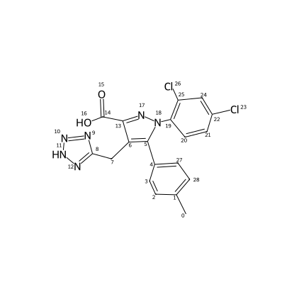 Cc1ccc(-c2c(Cc3nn[nH]n3)c(C(=O)O)nn2-c2ccc(Cl)cc2Cl)cc1